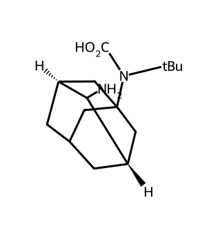 CC(C)(C)N(C(=O)O)C12CC3C[C@@H](C1)C(N)[C@@H](C3)C2